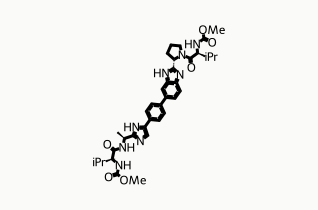 COC(=O)N[C@H](C(=O)N[C@@H](C)c1ncc(-c2ccc(-c3ccc4nc([C@@H]5CCCN5C(=O)[C@@H](NC(=O)OC)C(C)C)[nH]c4c3)cc2)[nH]1)C(C)C